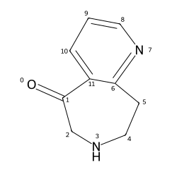 O=C1CNCCc2ncccc21